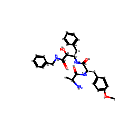 COc1ccc(C[C@H](NC(=O)[C@H](C)N)C(=O)N[C@@H](Cc2ccccc2)C(O)C(=O)NCc2ccccc2)cc1